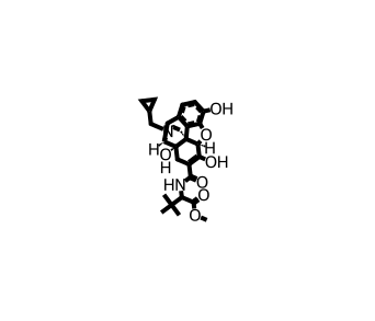 COC(=O)C(NC(=O)C1=C(O)[C@@H]2Oc3c(O)ccc4c3[C@@]23CCN(CC2CC2)[C@H](C4)[C@]3(O)C1)C(C)(C)C